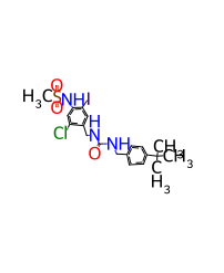 CC(C)(C)c1ccc(CNC(=O)NCc2cc(I)c(NS(C)(=O)=O)cc2Cl)cc1